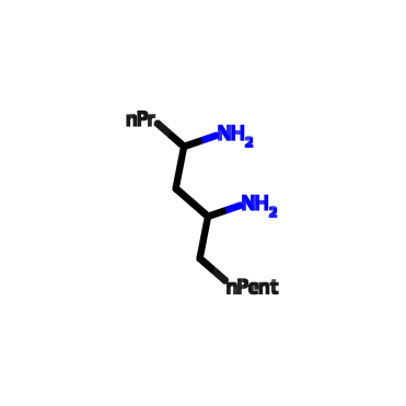 [CH2]CCC(N)CC(N)CCCCCC